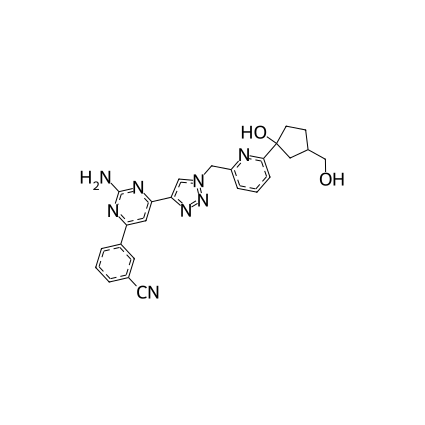 N#Cc1cccc(-c2cc(-c3cn(Cc4cccc(C5(O)CCC(CO)C5)n4)nn3)nc(N)n2)c1